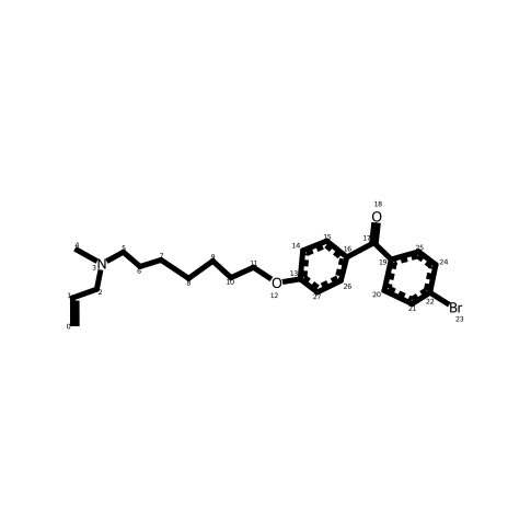 C=CCN(C)CCCCCCCOc1ccc(C(=O)c2ccc(Br)cc2)cc1